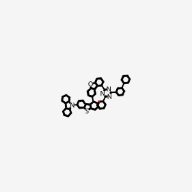 c1ccc(-c2cccc(-c3nc(-c4ccccc4)nc(-c4cccc5oc6ccc(-c7cccc8sc9cc(-n%10c%11ccccc%11c%11ccccc%11%10)ccc9c78)cc6c45)n3)c2)cc1